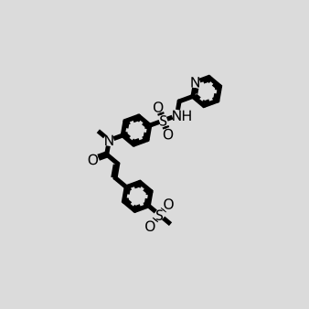 CN(C(=O)C=Cc1ccc(S(C)(=O)=O)cc1)c1ccc(S(=O)(=O)NCc2ccccn2)cc1